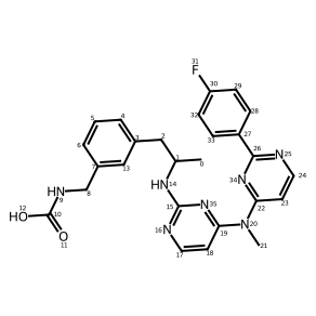 CC(Cc1cccc(CNC(=O)O)c1)Nc1nccc(N(C)c2ccnc(-c3ccc(F)cc3)n2)n1